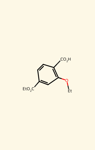 CCOC(=O)c1ccc(C(=O)O)c(OCC)c1